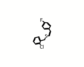 Fc1ccc(/C=C\SCc2ccccc2Cl)cc1